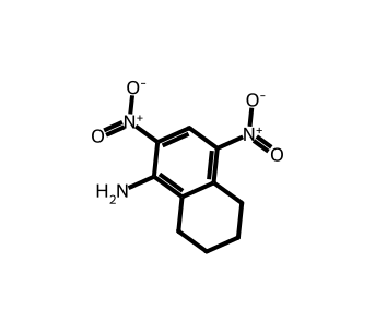 Nc1c([N+](=O)[O-])cc([N+](=O)[O-])c2c1CCCC2